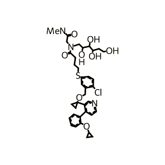 CNC(=O)CN(CC(O)C(O)C(O)CCO)C(=O)CCCSc1ccc(Cl)c(COC2(c3cnccc3-c3ccccc3OC3CC3)CC2)c1